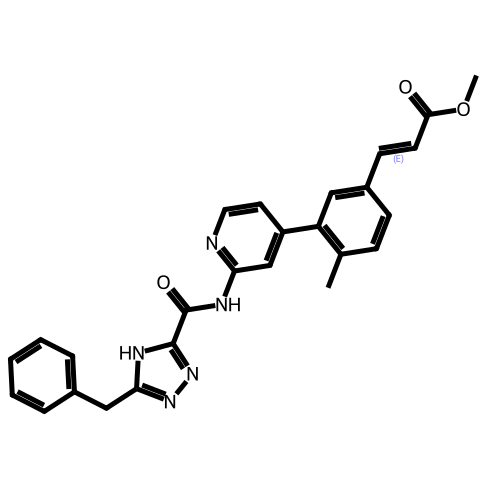 COC(=O)/C=C/c1ccc(C)c(-c2ccnc(NC(=O)c3nnc(Cc4ccccc4)[nH]3)c2)c1